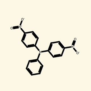 O=[N+]([O-])c1ccc(N(c2ccccc2)c2ccc([N+](=O)[O-])cc2)cc1